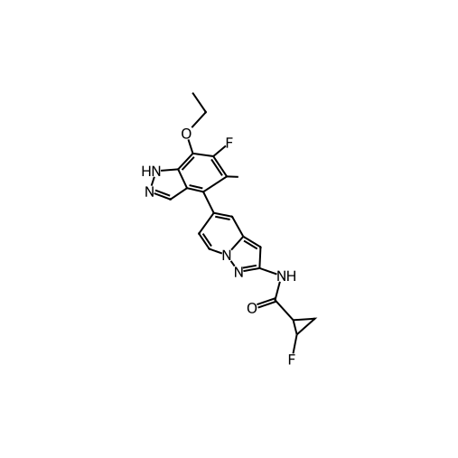 CCOc1c(F)c(C)c(-c2ccn3nc(NC(=O)C4CC4F)cc3c2)c2cn[nH]c12